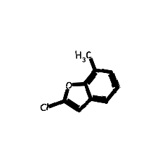 Cc1cccc2cc(Cl)oc12